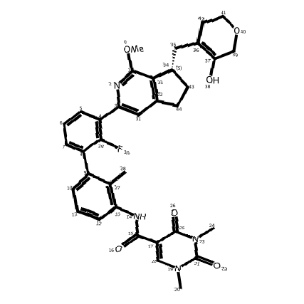 COc1nc(-c2cccc(-c3cccc(NC(=O)c4cn(C)c(=O)n(C)c4=O)c3C)c2F)cc2c1[C@H](CC1=C(O)COCC1)CC2